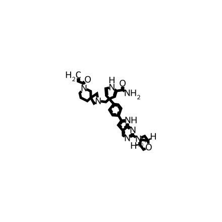 C=CC(=O)N1CCCC2(CN(CC3(c4ccc(-c5cc6cnc(N7C[C@H]8C[C@@H]7CO8)nc6[nH]5)cc4)C=CNC(C(N)=O)=C3)C2)C1